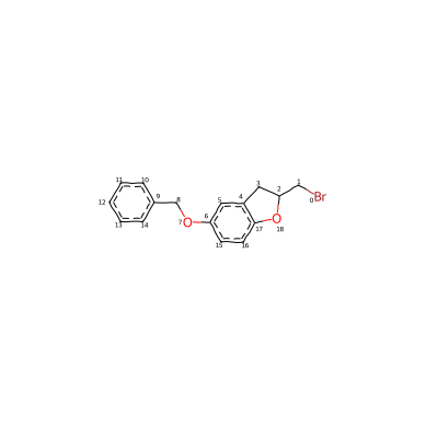 BrCC1Cc2cc(OCc3ccccc3)ccc2O1